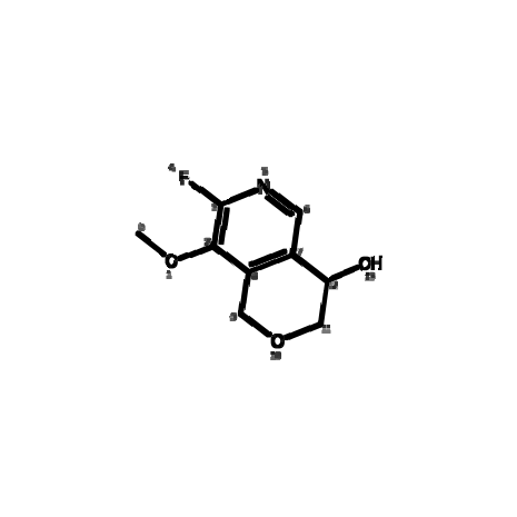 COc1c(F)ncc2c1COCC2O